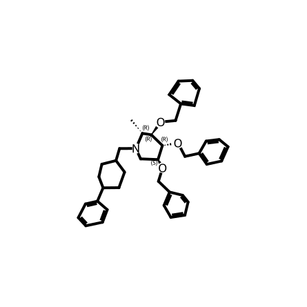 C[C@@H]1[C@@H](OCc2ccccc2)[C@H](OCc2ccccc2)[C@@H](OCc2ccccc2)CN1CC1CCC(c2ccccc2)CC1